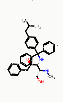 CN[C@H](CO)[C@@H](NC(c1ccccc1)(c1ccccc1)c1ccc(CC(C)C)cc1)C(=O)Cc1ccccc1